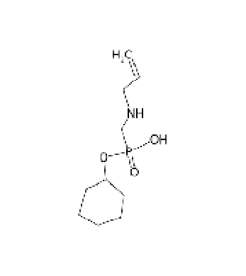 C=CCNCP(=O)(O)OC1CCCCC1